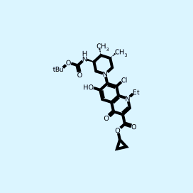 CCn1cc(C(=O)OC2CC2)c(=O)c2cc(O)c(N3C[C@@H](C)[C@@H](C)[C@H](NC(=O)OC(C)(C)C)C3)c(Cl)c21